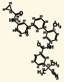 Cc1ccc(NC(=O)c2cccc(C(C)(C)C#N)c2)cc1-c1cccc(-c2cc(NC(=O)C3CC3)ncn2)c1